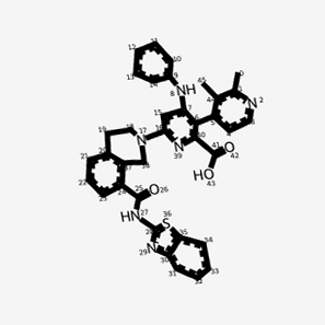 Cc1nccc(-c2c(Nc3ccccc3)cc(N3CCc4cccc(C(=O)Nc5nc6ccccc6s5)c4C3)nc2C(=O)O)c1C